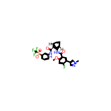 COc1cc(F)c(-c2cnn(C)c2)cc1C(=O)N[C@H]1[C@@H](C(=O)Nc2cccc(S(=O)(=O)C(F)(F)F)c2)[C@@H]2C=C[C@H]1C2